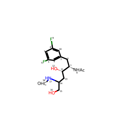 CC(=O)N[C@@H](Cc1cc(F)cc(F)c1)[C@@H](O)CC(CO)NC=O